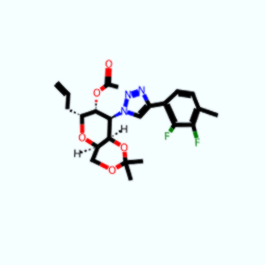 C=CC[C@H]1O[C@@H]2COC(C)(C)O[C@@H]2[C@H](n2cc(-c3ccc(C)c(F)c3F)nn2)[C@H]1OC(C)=O